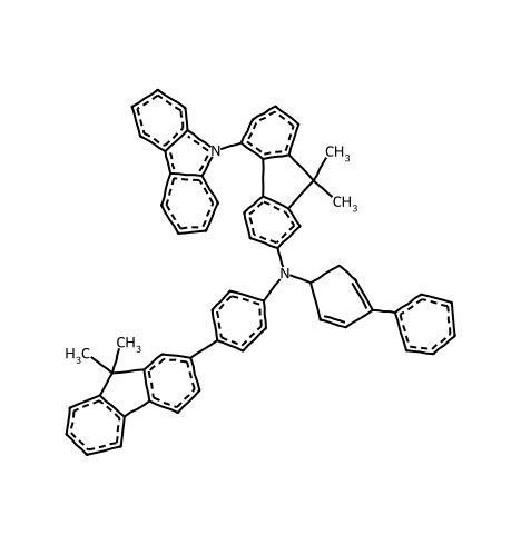 CC1(C)c2ccccc2-c2ccc(-c3ccc(N(c4ccc5c(c4)C(C)(C)c4cccc(-n6c7ccccc7c7ccccc76)c4-5)C4C=CC(c5ccccc5)=CC4)cc3)cc21